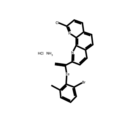 C=[C]([Fe][c]1c(C)cccc1Br)c1ccc2ccc3ccc(Cl)nc3c2n1.Cl.N